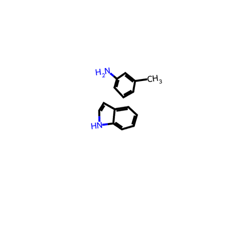 Cc1cccc(N)c1.c1ccc2[nH]ccc2c1